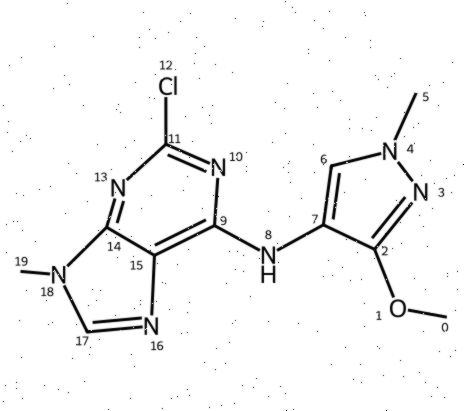 COc1nn(C)cc1Nc1nc(Cl)nc2c1ncn2C